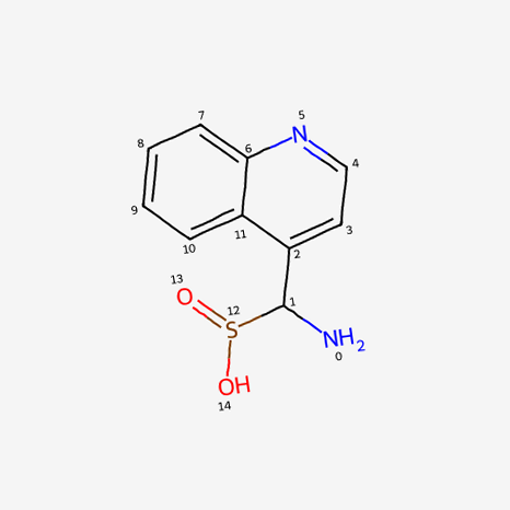 NC(c1ccnc2ccccc12)S(=O)O